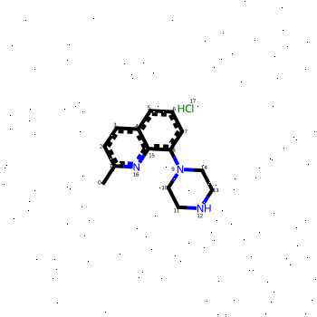 Cc1ccc2cccc(N3CCNCC3)c2n1.Cl